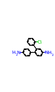 Nc1ccc(-c2ccc(N)cc2-c2ccccc2Cl)cc1